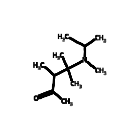 CC(=O)C(C)C(C)(C)N(C)C(C)C